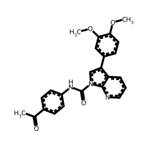 COc1ccc(-c2cn(C(=O)Nc3ccc(C(C)=O)cc3)c3ncccc23)cc1OC